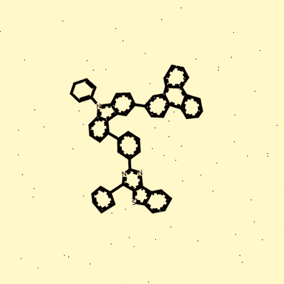 C1=CC(n2c3ccc(-c4ccc5c6ccccc6c6ccccc6c5c4)cc3c3c(-c4cccc(-c5nc(-c6ccccc6)c6sc7ccccc7c6n5)c4)cccc32)=CCC1